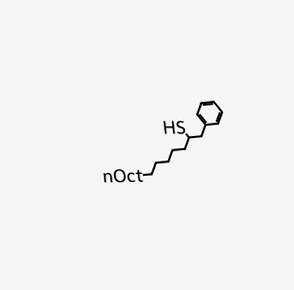 CCCCCCCCCCCCCC(S)Cc1ccccc1